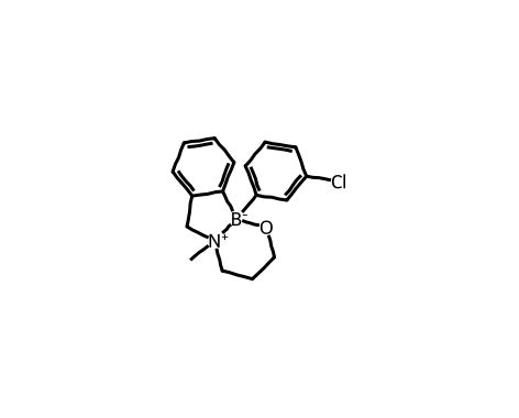 C[N+]12CCCO[B-]1(c1cccc(Cl)c1)c1ccccc1C2